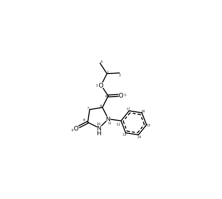 CC(C)OC(=O)C1CC(=O)NN1c1ccccc1